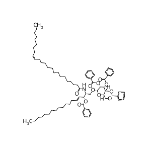 CCCCCCCC/C=C\CCCCCCCCCCCCCC(=O)N[C@@H](CO[C@H]1O[C@@H]2COC(c3ccccc3)O[C@H]2[C@H](OC(=O)c2ccccc2)[C@H]1OC(=O)c1ccccc1)[C@@H](/C=C/CCCCCCCCCCCCC)OC(=O)c1ccccc1